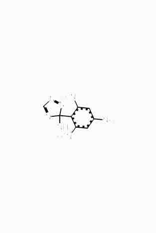 NC1(c2c([N+](=O)[O-])cc([N+](=O)[O-])cc2[N+](=O)[O-])N=CN=N1